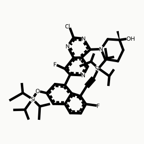 CC(C)[Si](C#Cc1c(F)ccc2cc(O[Si](C(C)C)(C(C)C)C(C)C)cc(-c3ncc4c(N5CCC[C@@](C)(O)C5)nc(Cl)nc4c3F)c12)(C(C)C)C(C)C